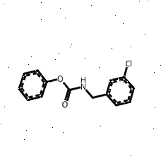 O=C(NCc1cccc(Cl)c1)Oc1ccccc1